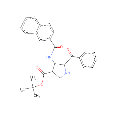 CC(C)(C)OC(=O)C1CNC(C(=O)c2ccccc2)C1NC(=O)c1ccc2ccccc2c1